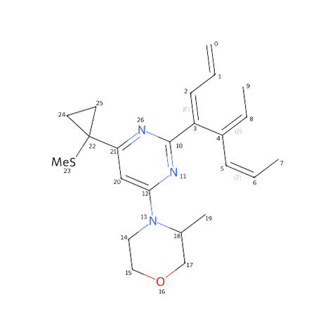 C=C\C=C(C(/C=C\C)=C\C)\c1nc(N2CCOCC2C)cc(C2(SC)CC2)n1